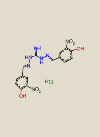 Cl.N=C(NN=Cc1ccc(O)c([N+](=O)[O-])c1)NN=Cc1ccc(O)c([N+](=O)[O-])c1